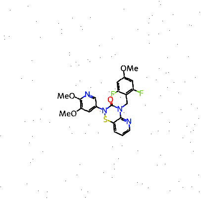 COc1cc(F)c(CN2C(=O)N(c3cnc(OC)c(OC)c3)Sc3cccnc32)c(F)c1